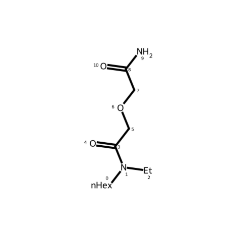 CCCCCCN(CC)C(=O)COCC(N)=O